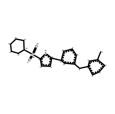 Cc1cccc(Cc2cccc(-c3ccc(S(=O)(=O)C4CCCCC4)s3)c2)c1